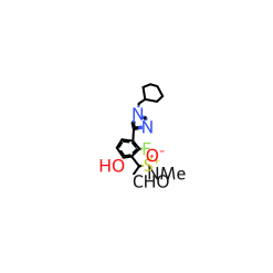 CN[S+]([O-])C(CC=O)c1c(O)ccc(-c2cn(CC3CCCCC3)cn2)c1F